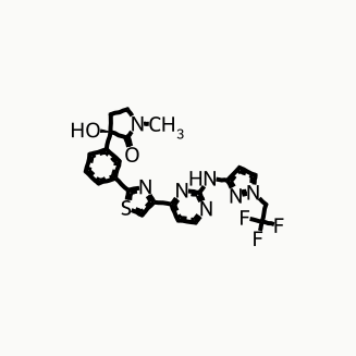 CN1CC[C@@](O)(c2cccc(-c3nc(-c4ccnc(Nc5ccn(CC(F)(F)F)n5)n4)cs3)c2)C1=O